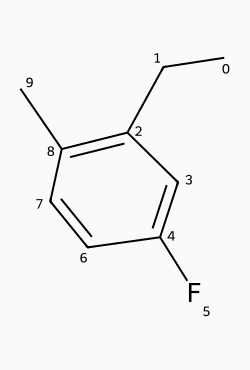 CCc1cc(F)ccc1C